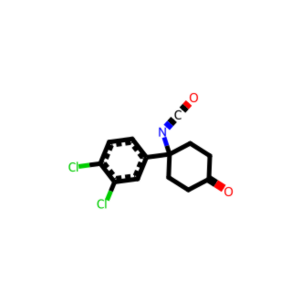 O=C=NC1(c2ccc(Cl)c(Cl)c2)CCC(=O)CC1